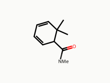 CNC(=O)C1C=CC=CC1(C)C